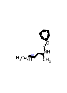 CN/C=C/CC(C)NSOc1ccccc1